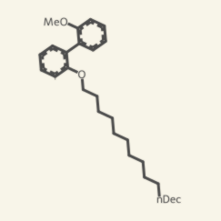 CCCCCCCCCCCCCCCCCCCCOc1[c]cccc1-c1ccccc1OC